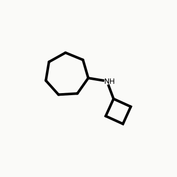 C1CCCC(NC2CCC2)CC1